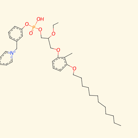 CCCCCCCCCCCCOc1cccc(OCC(COP(=O)(O)Oc2cccc(C[n+]3ccccc3)c2)OCC)c1C